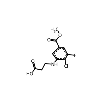 COC(=O)c1cc(F)c(Cl)c(NCCC(=O)O)c1